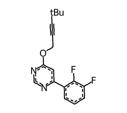 CC(C)(C)C#CCOc1cc(-c2cccc(F)c2F)ncn1